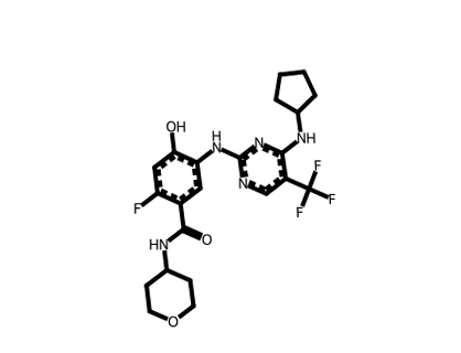 O=C(NC1CCOCC1)c1cc(Nc2ncc(C(F)(F)F)c(NC3CCCC3)n2)c(O)cc1F